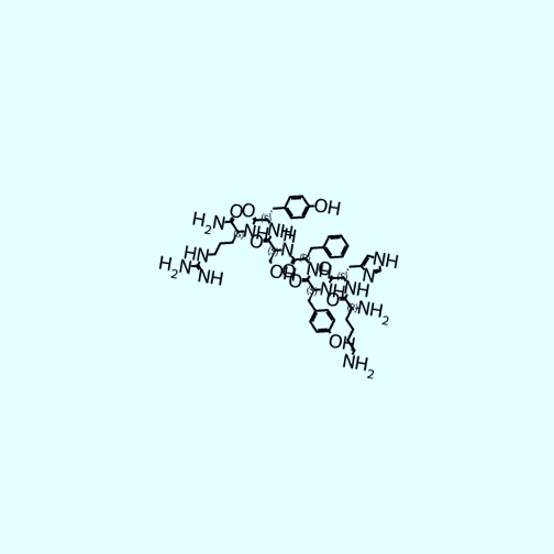 N=C(N)NCCC[C@H](NC(=O)[C@H](Cc1ccc(O)cc1)NC(=O)[C@H](CO)NC(=O)[C@@H](Cc1ccccc1)NC(=O)[C@H](Cc1ccc(O)cc1)NC(=O)[C@H](Cc1c[nH]cn1)NC(=O)[C@H](N)CCCCN)C(N)=O